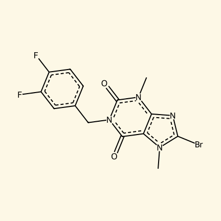 Cn1c(Br)nc2c1c(=O)n(Cc1ccc(F)c(F)c1)c(=O)n2C